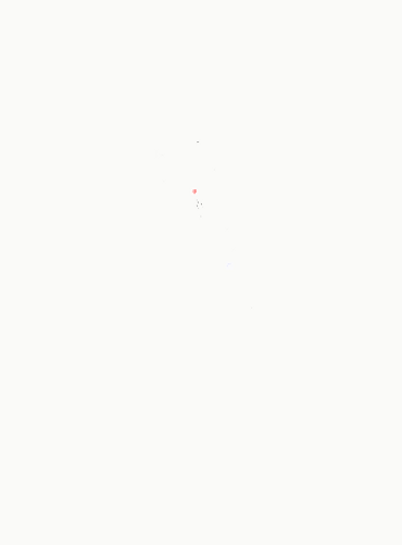 O=C1/C(=C/c2ccc(Br)cc2)C(c2ccc(Br)cc2)Oc2ccc(F)cc21